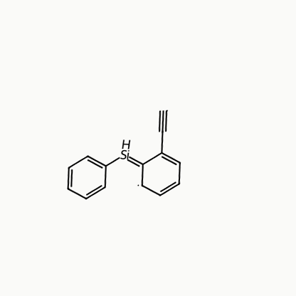 [C]#CC1=CC=C[CH]C1=[SiH]c1ccccc1